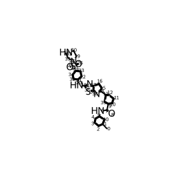 Cc1cccc(NC(=O)c2cccc(-c3ccc4nc(Nc5ccc(S(=O)(=O)N6CCNCC6)cc5)sc4n3)c2)c1